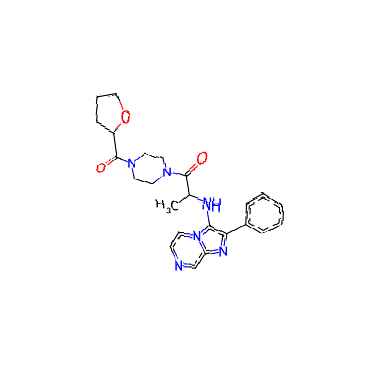 CC(Nc1c(-c2ccccc2)nc2cnccn12)C(=O)N1CCN(C(=O)C2CCCO2)CC1